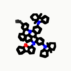 Cc1cc2c3c(c1)N(c1cccc4c1oc1ccccc14)c1cc(N4c5ccccc5C5(C)CCCCC45C)ccc1B3c1ccc(N3c4ccccc4C4(C)CCCCC34C)cc1N2c1ccc(C(C)(C)C)cc1-c1ccccc1